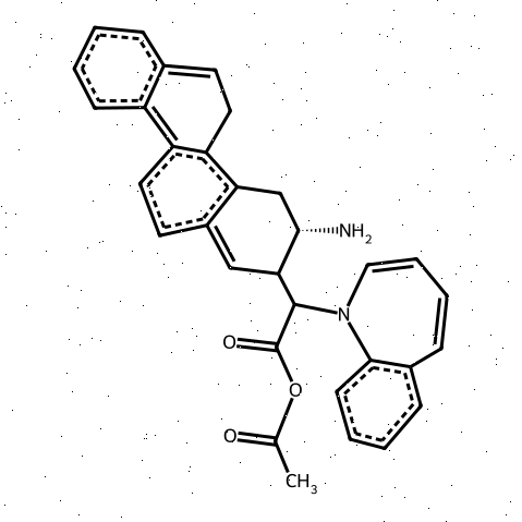 CC(=O)OC(=O)C(C1C=c2ccc3c(c2C[C@@H]1N)CC=c1ccccc1=3)N1C=CC=Cc2ccccc21